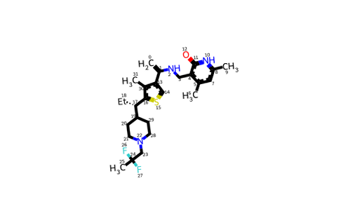 C=C(NCc1c(C)cc(C)[nH]c1=O)c1csc([C@@H](CC)C2CCN(CC(C)(F)F)CC2)c1C